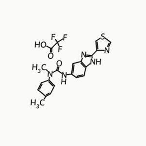 Cc1ccc(N(C)C(=O)Nc2ccc3[nH]c(-c4cscn4)nc3c2)cc1.O=C(O)C(F)(F)F